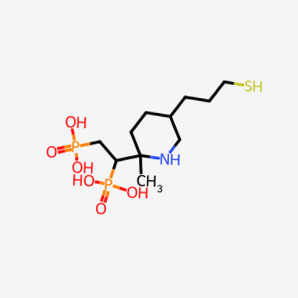 CC1(C(CP(=O)(O)O)P(=O)(O)O)CCC(CCCS)CN1